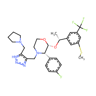 CSc1cc([C@@H](C)O[C@H]2OCCN(Cc3nn[nH]c3CN3CCCC3)[C@H]2c2ccc(F)cc2)cc(C(F)(F)F)c1